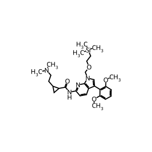 COc1cccc(OC)c1-c1cn(COCC[Si](C)(C)C)c2nc(NC(=O)C3CC3CCN(C)C)ccc12